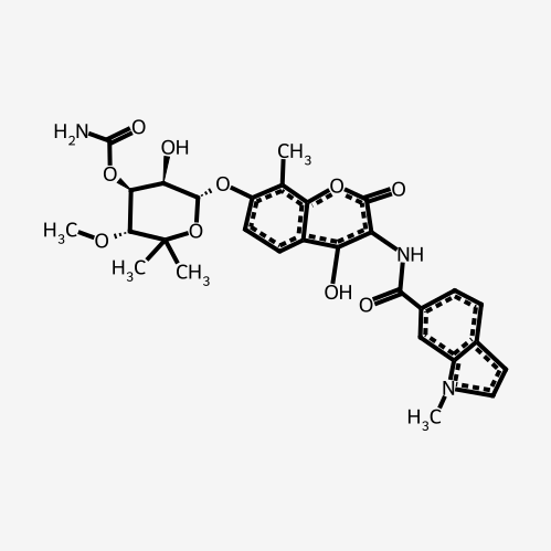 CO[C@@H]1[C@@H](OC(N)=O)[C@@H](O)[C@H](Oc2ccc3c(O)c(NC(=O)c4ccc5ccn(C)c5c4)c(=O)oc3c2C)OC1(C)C